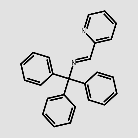 C(=NC(c1ccccc1)(c1ccccc1)c1ccccc1)c1ccccn1